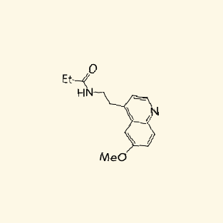 CCC(=O)NCCc1ccnc2ccc(OC)cc12